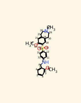 COc1ccccc1CNc1ccc(S(=O)(=O)c2cc3c(cc2OC)CCN(C)CC3)cc1